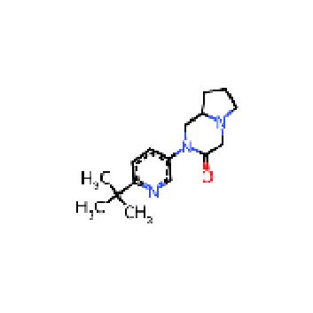 CC(C)(C)c1ccc(N2CC3CCCN3CC2=O)cn1